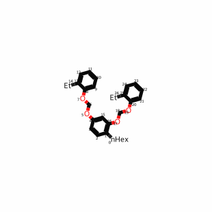 CCCCCCc1ccc(OCOc2ccccc2CC)cc1OCOc1ccccc1CC